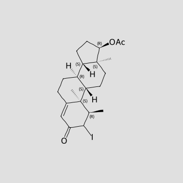 CC(=O)O[C@@H]1CC[C@H]2[C@@H]3CCC4=CC(=O)C(I)[C@H](C)[C@]4(C)[C@H]3CC[C@]12C